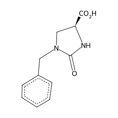 O=C(O)[C@@H]1CN(Cc2ccccc2)C(=O)N1